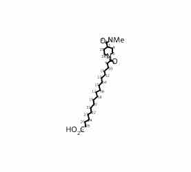 CNC(=O)C1CCN(C(=O)CCCCCCCCCCCCCCCCCCC(=O)O)CC1